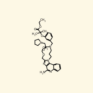 CCOCc1nc2c(N)nc3ccccc3c2n1CCCN(Cc1cccc(OC(C)(C)C(=O)OCC)c1)C(=O)CN1CCCC1